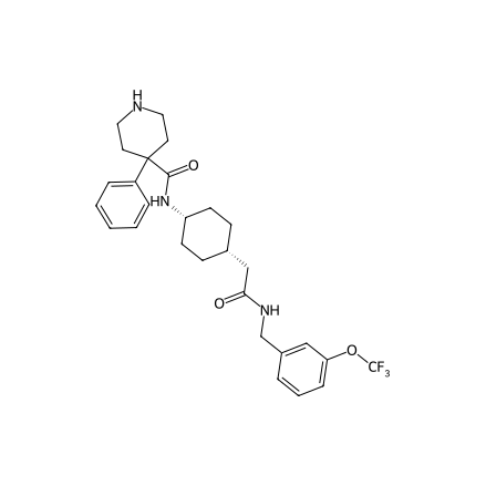 O=C(C[C@H]1CC[C@@H](NC(=O)C2(c3ccccc3)CCNCC2)CC1)NCc1cccc(OC(F)(F)F)c1